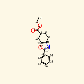 CCOC(=O)C1CCc2nc(-c3ccccc3)oc2C1